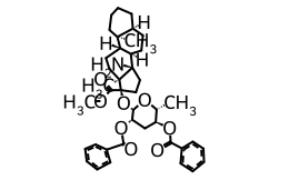 COC(=O)[C@@]1(O[C@@H]2O[C@H](C)[C@@H](OC(=O)c3ccccc3)C[C@@H]2OC(=O)c2ccccc2)CC[C@@]2(N)[C@@H]3CC[C@@H]4CCCC[C@]4(C)[C@H]3CC[C@]12C